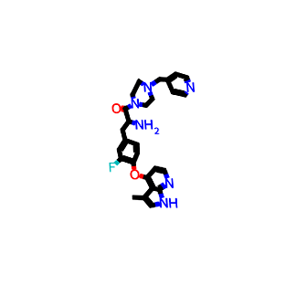 Cc1c[nH]c2nccc(Oc3ccc(CC(N)C(=O)N4CCN(Cc5ccncc5)CC4)cc3F)c12